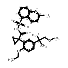 CCOc1ccc(C(C)(C)COC)cc1C1(C(=O)NS(=O)(=O)c2cccc3nc(C)ccc23)CC1